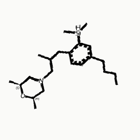 CCCCc1ccc(CC(C)CN2C[C@@H](C)O[C@@H](C)C2)c([SiH](C)C)c1